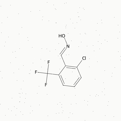 O/N=C/c1c(Cl)cccc1C(F)(F)F